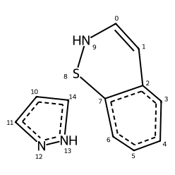 C1=Cc2ccccc2SN1.c1cn[nH]c1